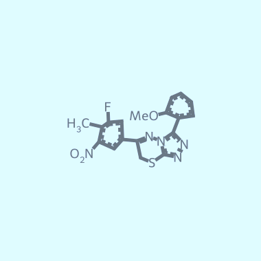 COc1ccccc1-c1nnc2n1N=C(c1cc(F)c(C)c([N+](=O)[O-])c1)CS2